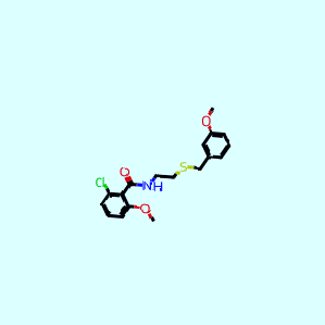 COc1cccc(CSCCNC(=O)c2c(Cl)cccc2OC)c1